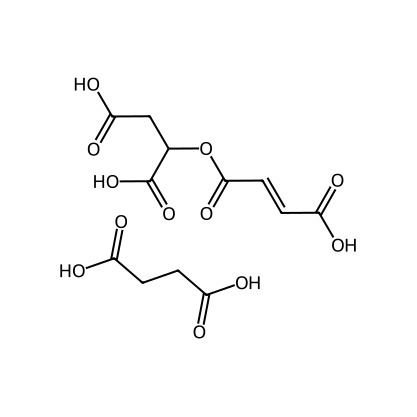 O=C(O)/C=C/C(=O)OC(CC(=O)O)C(=O)O.O=C(O)CCC(=O)O